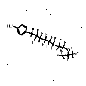 Nc1ccc(C(F)(F)C(F)(F)C(F)(F)C(F)(F)C(F)(F)C(F)(F)C(F)(F)C(F)(F)OC(F)(C(F)(F)F)C(F)(F)F)cc1